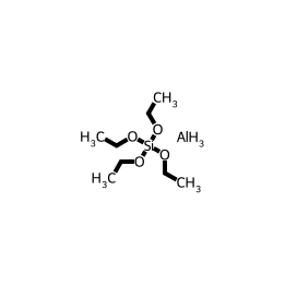 CCO[Si](OCC)(OCC)OCC.[AlH3]